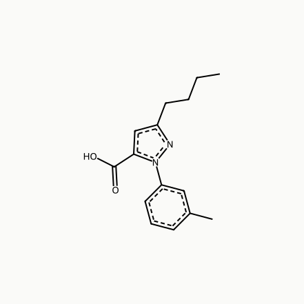 CCCCc1cc(C(=O)O)n(-c2cccc(C)c2)n1